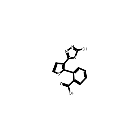 O=C(O)c1ccccc1-c1sccc1-c1nnc(S)s1